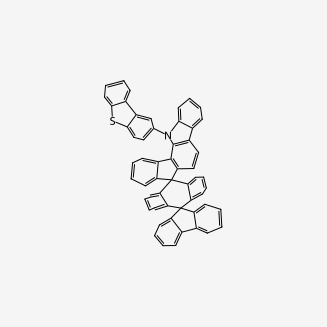 c1ccc2c(c1)-c1ccccc1C21c2ccccc2C2(c3ccccc3-c3c2ccc2c4ccccc4n(-c4ccc5sc6ccccc6c5c4)c32)c2ccccc21